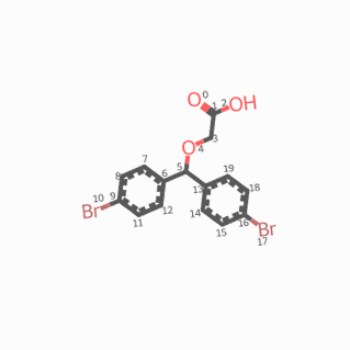 O=C(O)COC(c1ccc(Br)cc1)c1ccc(Br)cc1